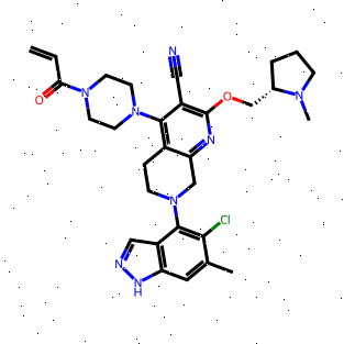 C=CC(=O)N1CCN(c2c(C#N)c(OC[C@@H]3CCCN3C)nc3c2CCN(c2c(Cl)c(C)cc4[nH]ncc24)C3)CC1